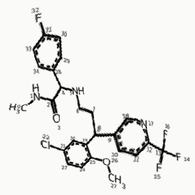 CNC(=O)C(NCCC(c1ccc(C(F)(F)F)nc1)c1cc(Cl)ccc1OC)c1ccc(F)cc1